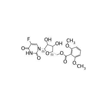 COc1cccc(OC)c1C(=O)OC[C@@H]1O[C@H](n2cc(F)c(=O)[nH]c2=O)C(O)C1O